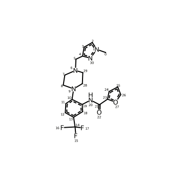 Cn1ccc(CN2CCN(c3ccc(C(F)(F)F)cc3NC(=O)c3ccco3)CC2)n1